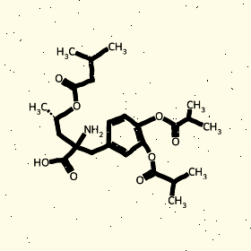 CC(C)CC(=O)O[C@@H](C)CC(N)(Cc1ccc(OC(=O)C(C)C)c(OC(=O)C(C)C)c1)C(=O)O